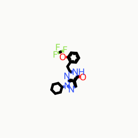 O=c1[nH]c(Cc2ccccc2OC(F)(F)F)nc2c1cnn2C1CCCCC1